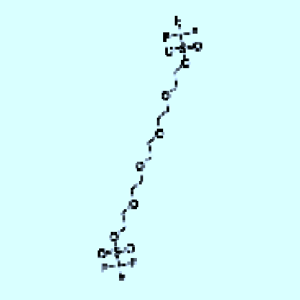 O=S(=O)(OCCOCCOCCOCCOCCOS(=O)(=O)C(F)(F)F)C(F)(F)F